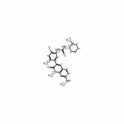 CNc1cc2c(cn1)cc(-c1cc(NC(=O)N[C@H]3CCCC[C@@H]3C)c(F)cc1C)c(=O)n2C